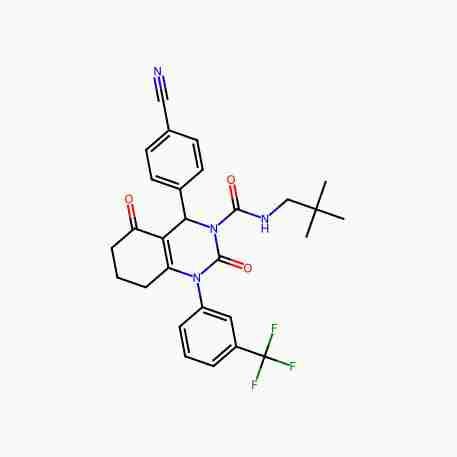 CC(C)(C)CNC(=O)N1C(=O)N(c2cccc(C(F)(F)F)c2)C2=C(C(=O)CCC2)C1c1ccc(C#N)cc1